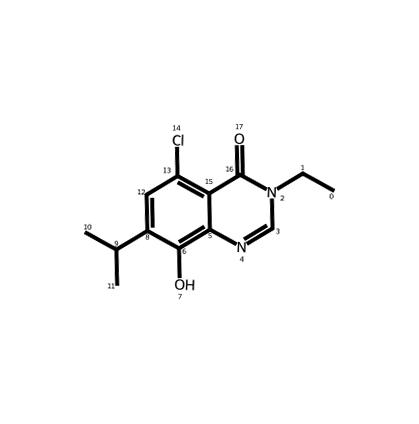 CCn1cnc2c(O)c(C(C)C)cc(Cl)c2c1=O